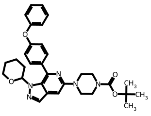 CC(C)(C)OC(=O)N1CCN(c2cc3cnn(C4CCCCO4)c3c(-c3ccc(Oc4ccccc4)cc3)n2)CC1